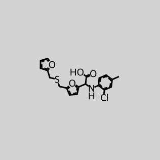 Cc1ccc(NC(C(=O)O)c2ccc(CSCc3ccco3)o2)c(Cl)c1